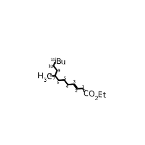 CCOC(=O)C/C=C/CCCC(C)CCC(C)CC